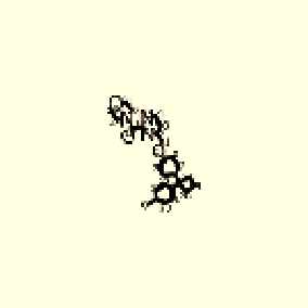 Cc1ccc(C2(c3ccc(OCc4ccnc(C(=O)N5CCOCC5)n4)cc3)CCC2)cc1